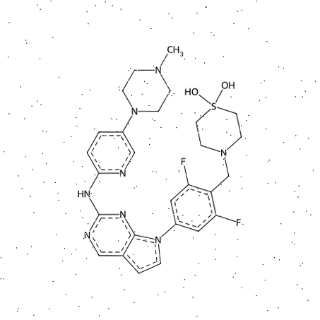 CN1CCN(c2ccc(Nc3ncc4ccn(-c5cc(F)c(CN6CCS(O)(O)CC6)c(F)c5)c4n3)nc2)CC1